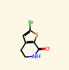 O=C1NCCc2cc(Br)sc21